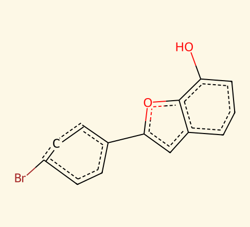 Oc1cccc2cc(-c3ccc(Br)cc3)oc12